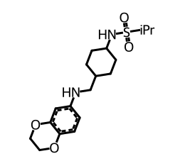 CC(C)S(=O)(=O)NC1CCC(CNc2ccc3c(c2)OCCO3)CC1